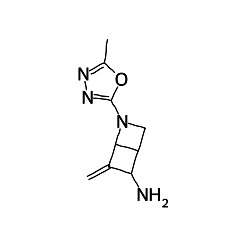 C=C1C(N)C2CN(c3nnc(C)o3)C12